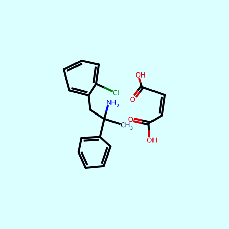 CC(N)(Cc1ccccc1Cl)c1ccccc1.O=C(O)/C=C\C(=O)O